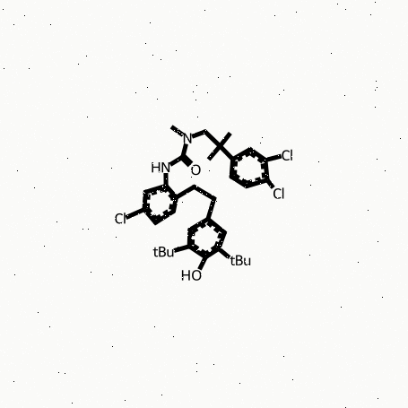 CN(CC(C)(C)c1ccc(Cl)c(Cl)c1)C(=O)Nc1cc(Cl)ccc1CCc1cc(C(C)(C)C)c(O)c(C(C)(C)C)c1